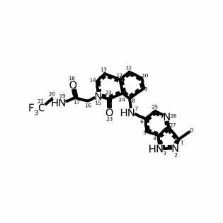 Cc1n[nH]c2cc(Nc3cccc4ccn(CC(=O)NCC(F)(F)F)c(=O)c34)cnc12